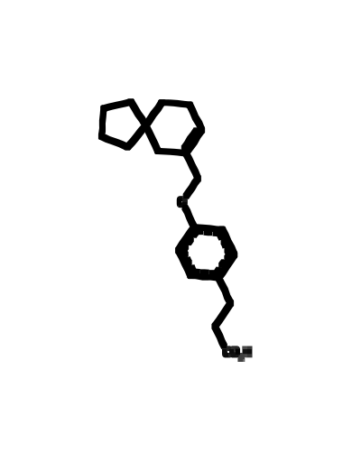 O=C(O)CCc1ccc(OCC2=CCCC3(CCCC3)C2)cc1